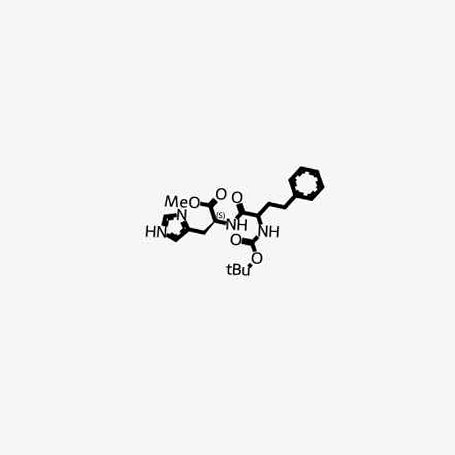 COC(=O)[C@H](Cc1c[nH]cn1)NC(=O)C(CCc1ccccc1)NC(=O)OC(C)(C)C